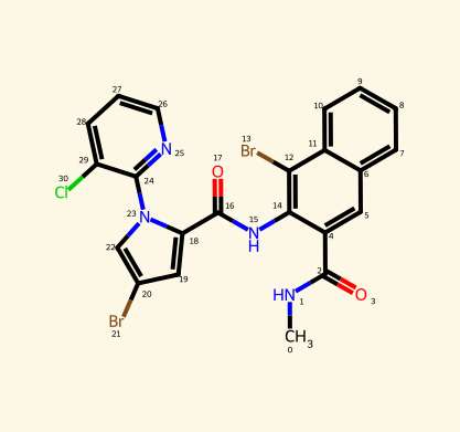 CNC(=O)c1cc2ccccc2c(Br)c1NC(=O)c1cc(Br)cn1-c1ncccc1Cl